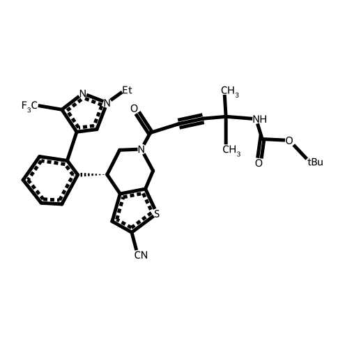 CCn1cc(-c2ccccc2[C@@H]2CN(C(=O)C#CC(C)(C)NC(=O)OC(C)(C)C)Cc3sc(C#N)cc32)c(C(F)(F)F)n1